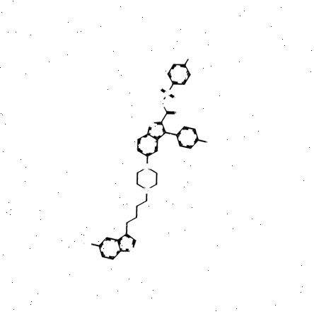 Cc1ccc(-c2c(C(=O)NS(=O)(=O)c3ccc(C)cc3)oc3ccc(N4CCN(CCCCc5c[nH]c6ccc(C#N)cc56)CC4)cc23)cc1